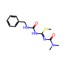 CSC(=NC(=O)N(C)C)NC(=O)NCc1ccccc1